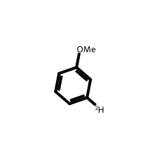 [2H]c1cccc(OC)c1